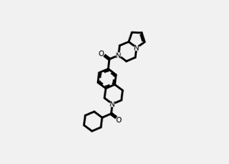 O=C(c1ccc2c(c1)CCN(C(=O)C1CCCCC1)C2)N1CCN2C=CCC2C1